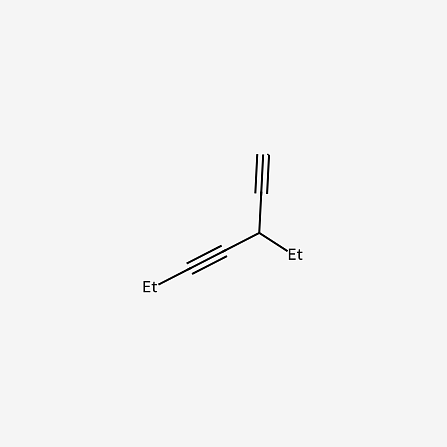 [C]#CC(C#CCC)CC